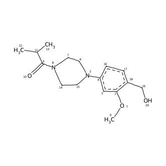 COc1cc(N2CCN(C(=O)C(C)C)CC2)ccc1CO